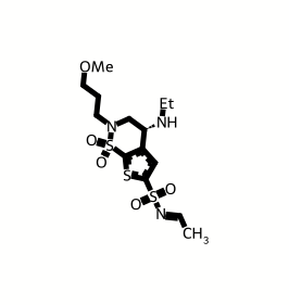 C/C=N/S(=O)(=O)c1cc2c(s1)S(=O)(=O)N(CCCOC)C[C@@H]2NCC